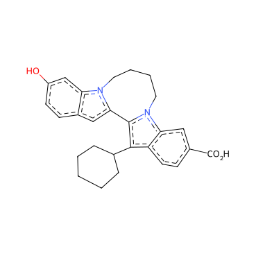 O=C(O)c1ccc2c(C3CCCCC3)c3n(c2c1)CCCCn1c-3cc2ccc(O)cc21